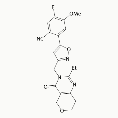 CCc1nc2c(c(=O)n1Cc1cc(-c3cc(OC)c(F)cc3C#N)on1)COCC2